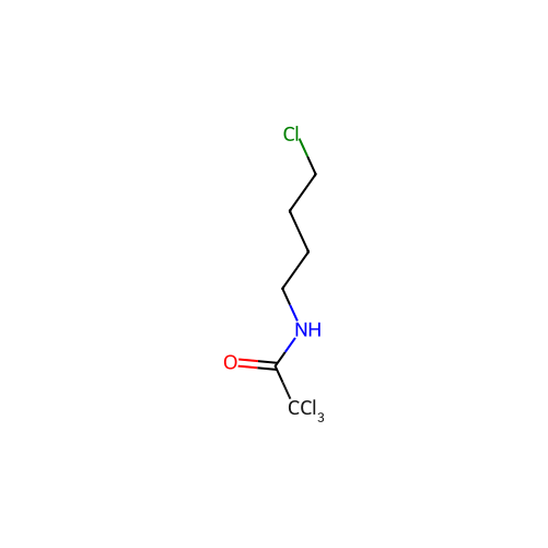 O=C(NCCCCCl)C(Cl)(Cl)Cl